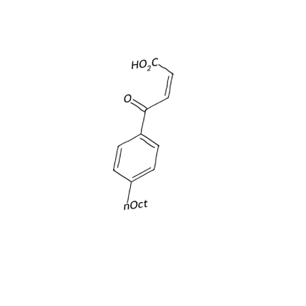 CCCCCCCCc1ccc(C(=O)/C=C\C(=O)O)cc1